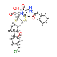 O=C(Cc1ccccc1)N[C@@H]1C(=O)N2C(C(=O)O)=C(Sc3ccc4c(c3)oc3cc(CCl)ccc34)CS[C@H]12